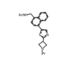 CC(=O)NCc1ccc(-c2cnc(C3CN(C(C)C)C3)s2)c2ccccc12